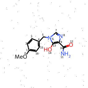 COc1ccc(Cn2cnc(C(N)=O)c2O)cc1